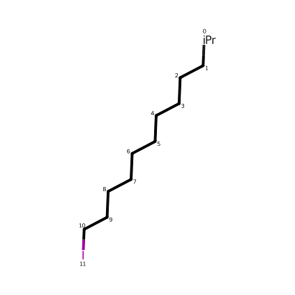 CC(C)CCCCCCCCCCI